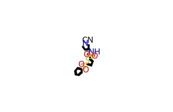 N#CN1CC[C@@H](NS(=O)(=O)c2ccc(S(=O)(=O)c3ccccc3)s2)C1